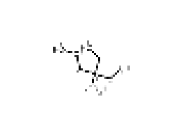 O=C(O)C(CO)(CO)COO